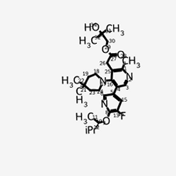 Cc1ncc(-c2cnc(O[C@H](C)C(C)C)c(F)c2)c(N2CCC(C)(C)CC2)c1CC(=O)OCC(C)(C)O